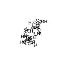 CCc1cccc2cc(O)cc(-c3ncc4c(N5CC6CCC(C5)N6)nc(OC[C@@H]5CCCN5CCCOCCC(=O)N[C@H](C(=O)N5CC(O)CC5C(=O)Nc5ccc(-c6scnc6C)cc5)C(C)(C)C)nc4c3F)c12